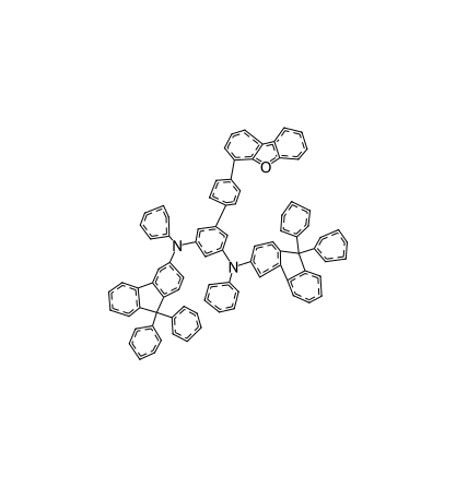 c1ccc(N(c2cc(-c3ccc(-c4cccc5c4oc4ccccc45)cc3)cc(N(c3ccccc3)c3ccc4c(c3)-c3ccccc3C4(c3ccccc3)c3ccccc3)c2)c2ccc3c(c2)-c2ccccc2C3(c2ccccc2)c2ccccc2)cc1